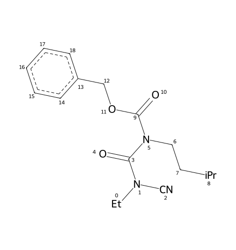 CCN(C#N)C(=O)N(CCC(C)C)C(=O)OCc1ccccc1